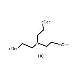 CCCCCCCCCCC[CH2][Sn]([CH2]CCCCCCCCCCC)[CH2]CCCCCCCCCCC.Cl